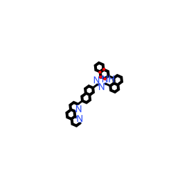 c1ccc(C2=NC(c3ccc4cc(-c5ccc6ccc7cccnc7c6n5)ccc4c3)=NC(c3cccc4cccc(-c5ccccc5)c34)N2)cc1